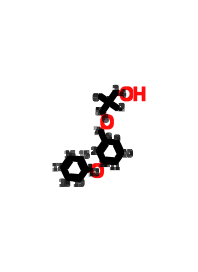 CC(C)(CO)COCc1cccc(Oc2ccccc2)c1